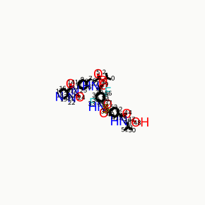 CC(C)OC(=O)[C@H](Cc1ccc(-n2c(=O)c3ccncc3n(C)c2=O)cc1)NC(=O)c1cc(F)c(NS(=O)(=O)c2ccc(C(=O)N[C@H](CO)C(C)C)cc2)cc1F